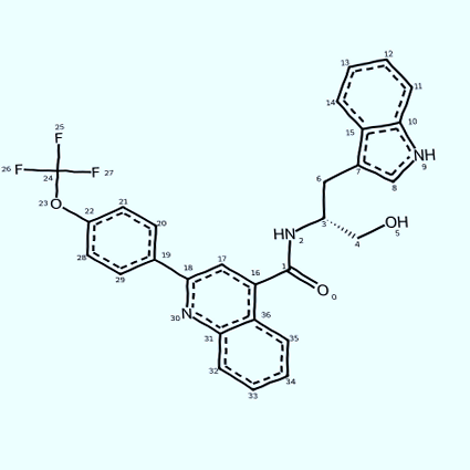 O=C(N[C@@H](CO)Cc1c[nH]c2ccccc12)c1cc(-c2ccc(OC(F)(F)F)cc2)nc2ccccc12